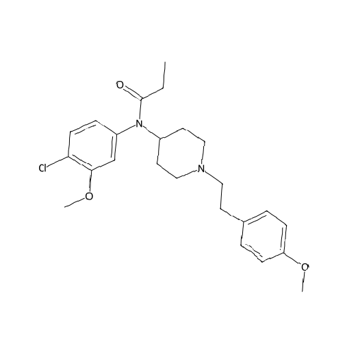 CCC(=O)N(c1ccc(Cl)c(OC)c1)C1CCN(CCc2ccc(OC)cc2)CC1